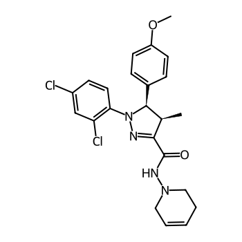 COc1ccc([C@H]2[C@@H](C)C(C(=O)NN3CC=CCC3)=NN2c2ccc(Cl)cc2Cl)cc1